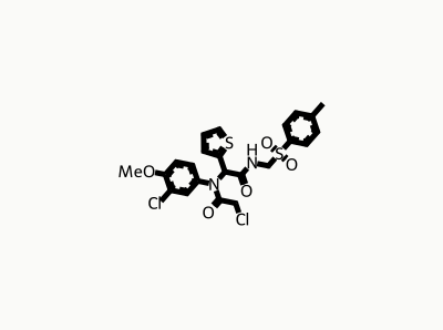 COc1ccc(N(C(=O)CCl)C(C(=O)NCS(=O)(=O)c2ccc(C)cc2)c2cccs2)cc1Cl